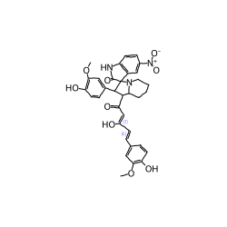 COc1cc(/C=C/C(O)=C/C(=O)C2C3CCCCN3C3(C(=O)Nc4ccc([N+](=O)[O-])cc43)C2c2ccc(O)c(OC)c2)ccc1O